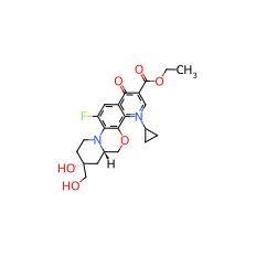 CCOC(=O)c1cn(C2CC2)c2c3c(c(F)cc2c1=O)N1CC[C@](O)(CO)C[C@H]1CO3